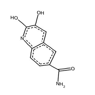 NC(=O)c1ccc2nc(O)c(O)cc2c1